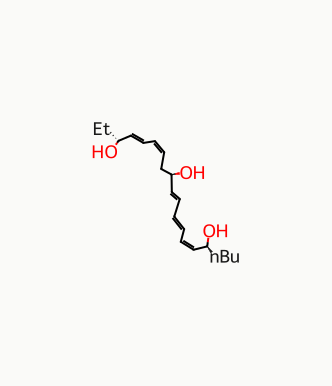 CCCC[C@H](O)\C=C/C=C/C=C/[C@H](O)C/C=C\C=C\[C@H](O)CC